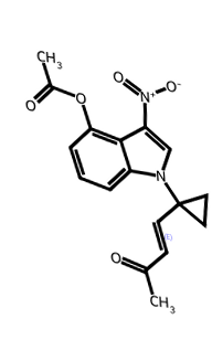 CC(=O)/C=C/C1(n2cc([N+](=O)[O-])c3c(OC(C)=O)cccc32)CC1